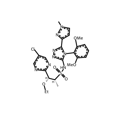 CCO[C@H](c1ncc(Cl)cn1)[C@@H](C)S(=O)(=O)Nc1nnc(-c2ccn(C)n2)n1-c1c(OC)cccc1OC